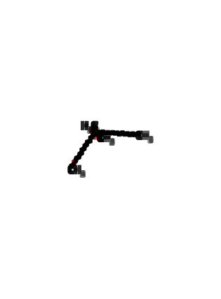 CCCCCCCCCCCCCCCCCC[Si](CCCCCCCCCCCCCCCCCC)(OCC)OCC